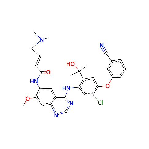 COc1cc2ncnc(Nc3cc(Cl)c(Oc4cccc(C#N)c4)cc3C(C)(C)O)c2cc1NC(=O)C=CCN(C)C